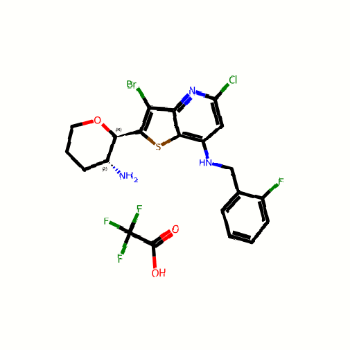 N[C@@H]1CCCO[C@H]1c1sc2c(NCc3ccccc3F)cc(Cl)nc2c1Br.O=C(O)C(F)(F)F